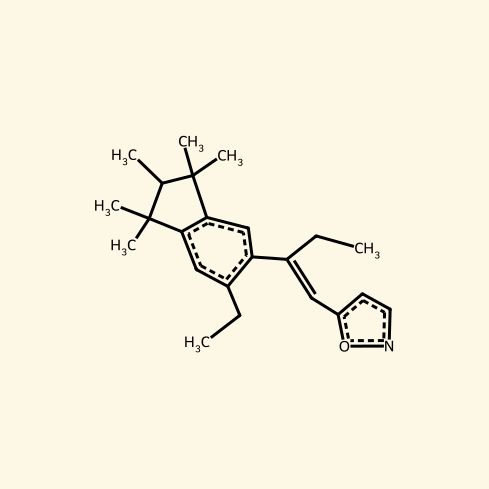 CCC(=Cc1ccno1)c1cc2c(cc1CC)C(C)(C)C(C)C2(C)C